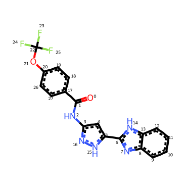 O=C(Nc1cc(-c2nc3ccccc3[nH]2)[nH]n1)c1ccc(OC(F)(F)F)cc1